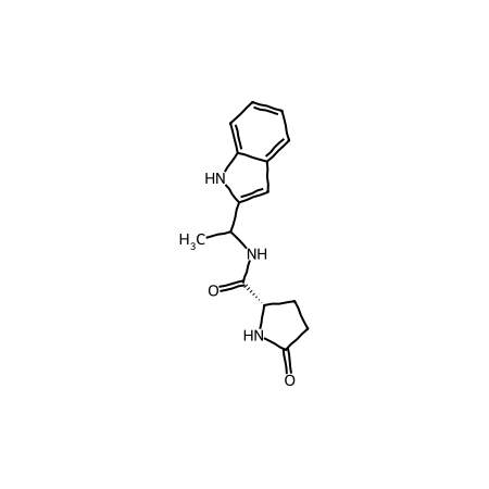 CC(NC(=O)[C@@H]1CCC(=O)N1)c1cc2ccccc2[nH]1